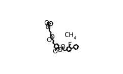 C.COc1cc(C=CC(=O)OCCCCO[N+](=O)[O-])ccc1OC(=O)Cc1ccc(-c2ccccc2)c(F)c1